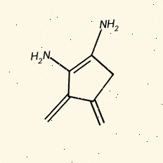 C=C1CC(N)=C(N)C1=C